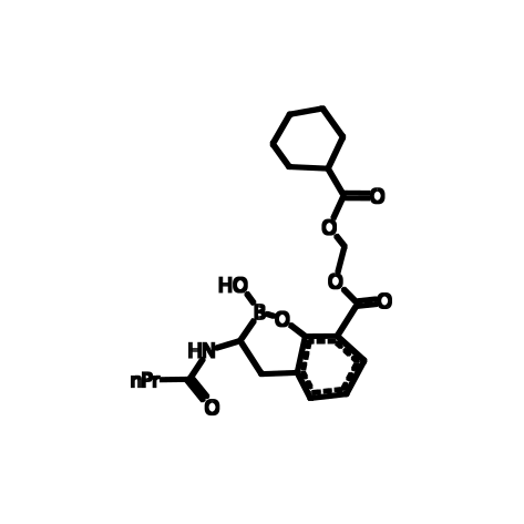 CCCC(=O)NC1Cc2cccc(C(=O)OCOC(=O)C3CCCCC3)c2OB1O